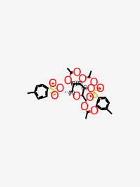 CC(=O)OCC1O[C@H](COS(=O)(=O)c2ccc(C)cc2)[C@@H](OC(C)=O)[C@H](OC(C)=O)[C@H]1OS(=O)(=O)c1ccc(C)cc1